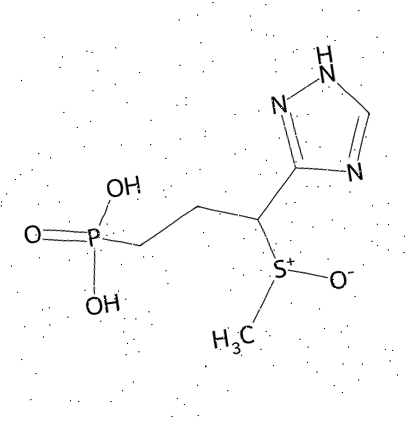 C[S+]([O-])C(CCP(=O)(O)O)c1nc[nH]n1